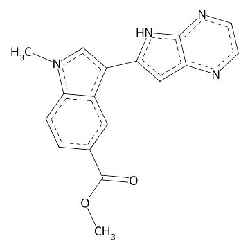 COC(=O)c1ccc2c(c1)c(-c1cc3nccnc3[nH]1)cn2C